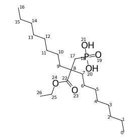 CCCCCCCCC(CCCCCCCC)(CP(=O)(O)O)C(=O)OCC